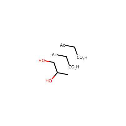 CC(=O)CC(=O)O.CC(=O)CC(=O)O.CC(O)CO